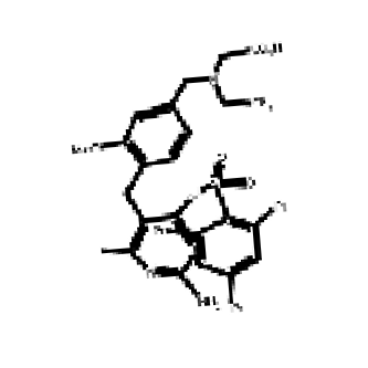 COc1cc(CN(CC(=O)O)CC(F)(F)F)ccc1Cc1c(C)nc(N)nc1OS(=O)(=O)c1c(C(C)C)cc(C(C)C)cc1C(C)C